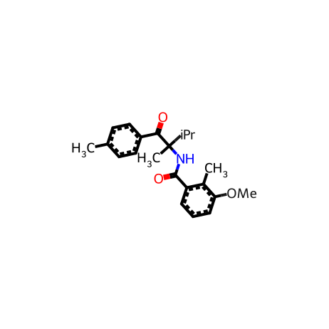 COc1cccc(C(=O)NC(C)(C(=O)c2ccc(C)cc2)C(C)C)c1C